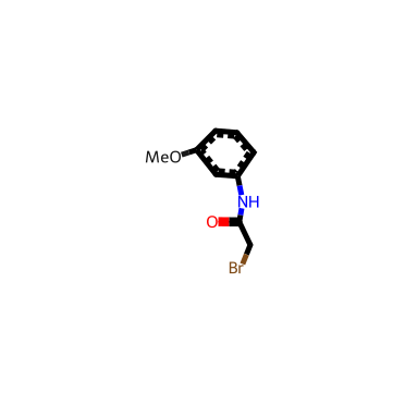 COc1cccc(NC(=O)CBr)c1